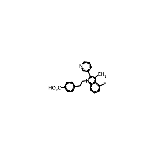 Cc1c(-c2cccnc2)n(CCc2ccc(C(=O)O)cc2)c2cccc(F)c12